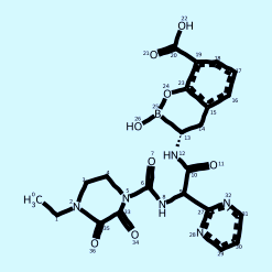 CCN1CCN(C(=O)NC(C(=O)N[C@H]2Cc3cccc(C(=O)O)c3OB2O)c2ncccn2)C(=O)C1=O